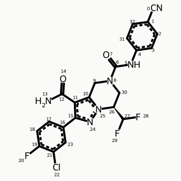 N#Cc1ccc(NC(=O)N2Cc3c(C(N)=O)c(-c4ccc(F)c(Cl)c4)nn3[C@H](C(F)F)C2)cc1